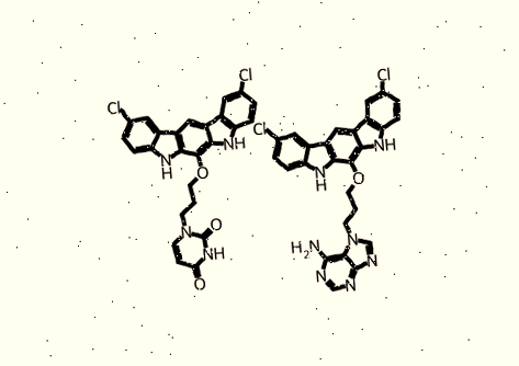 Nc1ncnc2ncn(CCCOc3c4[nH]c5ccc(Cl)cc5c4cc4c3[nH]c3ccc(Cl)cc34)c12.O=c1ccn(CCCOc2c3[nH]c4ccc(Cl)cc4c3cc3c2[nH]c2ccc(Cl)cc23)c(=O)[nH]1